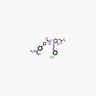 COC(=O)C[C@@H]1C[C@@H](CNC(=O)[C@H]2C[C@H](c3ccc(C(=N)N)cc3)C2)N(CCCc2ccccc2)C1=O.Cl